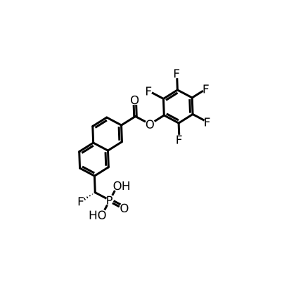 O=C(Oc1c(F)c(F)c(F)c(F)c1F)c1ccc2ccc([C@@H](F)P(=O)(O)O)cc2c1